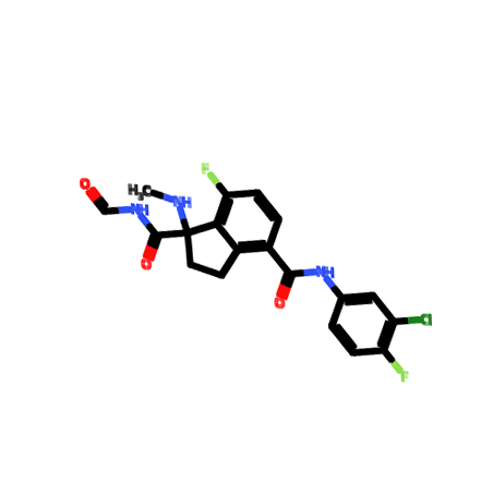 CNC1(C(=O)NC=O)CCc2c(C(=O)Nc3ccc(F)c(Cl)c3)ccc(F)c21